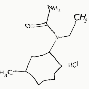 CCN(C(N)=O)C1CCCC(C)C1.Cl